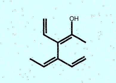 C=CC(=C/C)/C(C=C)=C(\C)O